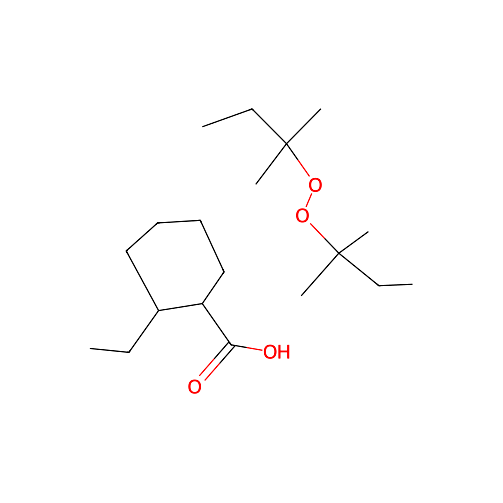 CCC(C)(C)OOC(C)(C)CC.CCC1CCCCC1C(=O)O